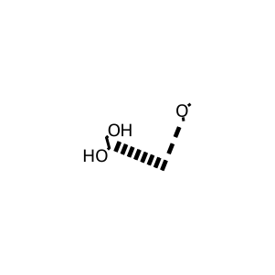 C=C.C=C.C=C.C=C.C=C.C=C.C=C.C=C.C=C.C=C.COC.OCCO